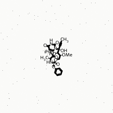 CC#C[C@@](O)([C@H](O)[C@@H](COP(=O)(N[C@@H](C)C(=O)OC(C)C)Oc1ccccc1)OC)n1ccc(=O)[nH]c1=O